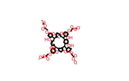 COCOC(=O)COc1ccc(C2c3cc(c(O)cc3O)C(c3ccc(OCC(=O)OCOC)cc3)c3cc(c(O)cc3O)C(c3ccc(OCC(=O)OCOC)cc3)c3cc(c(O)cc3O)C(c3ccc(OCC(=O)OCOC)cc3)c3cc2c(O)cc3O)cc1